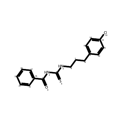 O=C(NC(=S)NCCCc1ccc(Cl)cc1)c1ccccc1